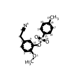 COc1ccc(CC#N)cc1OS(=O)(=O)c1ccc(C)cc1